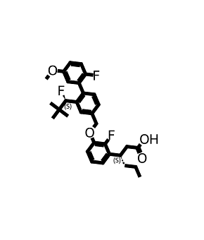 CCC[C@@H](CC(=O)O)c1cccc(OCc2ccc(-c3cc(OC)ccc3F)c([C@@H](F)C(C)(C)C)c2)c1F